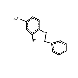 CC(=O)Oc1ccc(OCc2ccccc2)c(C(C)C)c1